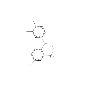 CC1(C)NCC(c2ccc(Cl)c(Cl)c2)c2ccc(Br)cc21